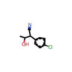 CC(O)C(C#N)c1ccc(Cl)cc1